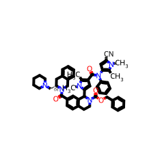 Cc1c(N(C(=O)c2cc(C3c4cc(C(=O)N5Cc6ccccc6C[C@H]5CN5CCCCC5)ccc4CCN3C(=O)OCc3ccccc3)n(C)c2C)c2ccccc2)cc(C#N)n1C